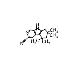 CC1(C)Cc2[nH]c3cnc(C#N)cc3c2C(C)(C)C1